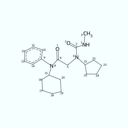 CNC(=O)N(CC(=O)N(c1ccccc1)C1CCCCC1)C1CCCC1